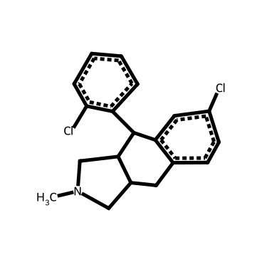 CN1CC2Cc3ccc(Cl)cc3C(c3ccccc3Cl)C2C1